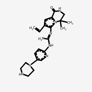 C=Cc1cc2n(c1/N=C(\N)Nc1ccc(N3CCNCC3)cn1)C(C)(C)CNC2=O